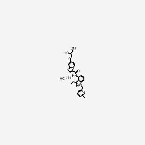 CCc1nn(Cc2cccc(C)n2)c2cccc(NC(=O)c3cnc4cc(OCC(O)CO)ccn34)c12.Cl.Cl